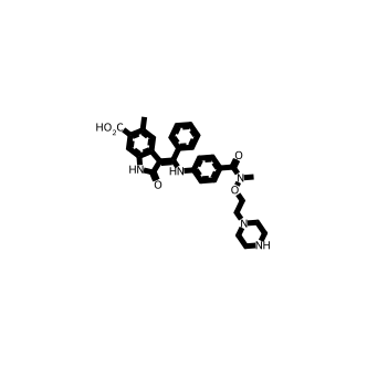 Cc1cc2c(cc1C(=O)O)NC(=O)/C2=C(\Nc1ccc(C(=O)N(C)OCCN2CCNCC2)cc1)c1ccccc1